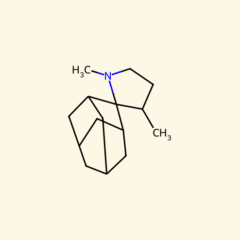 CC1CCN(C)C12C1CC3CC(C1)CC2C3